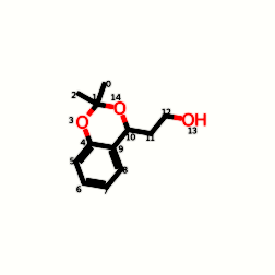 CC1(C)Oc2ccccc2C(CCO)O1